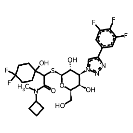 CN(C(=O)C(S[C@@H]1O[C@H](CO)[C@H](O)[C@H](n2cc(-c3cc(F)c(F)c(F)c3)nn2)[C@H]1O)C1(O)CCC(F)(F)CC1)C1CCC1